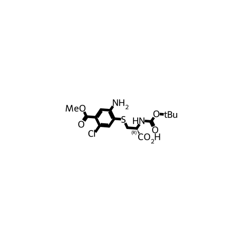 COC(=O)c1cc(N)c(SC[C@H](NC(=O)OC(C)(C)C)C(=O)O)cc1Cl